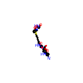 CCc1cc2c(cc1N1CCC(NC(=O)CCCCCCCCCSc3cccc4c3CN(C3CCC(=O)NC3=O)C4=O)CC1)C(C)(C)c1[nH]c3cc(C#N)ccc3c1C2=O